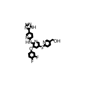 OCc1ccc(Sc2cnc(Nc3ccc(-c4nnn[nH]4)cn3)c(Oc3ccc(F)c(F)c3)c2)nc1